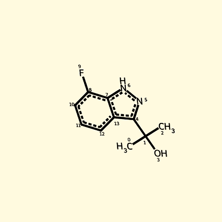 CC(C)(O)c1n[nH]c2c(F)cccc12